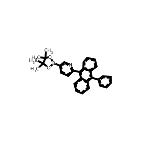 CC1(C)OB(c2ccc(-c3c4ccccc4c(-c4ccccc4)c4ccccc34)nc2)OC1(C)C